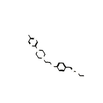 CCON=Cc1ccc(OCCN2CCN(c3cnc(Cl)cn3)CC2)cc1